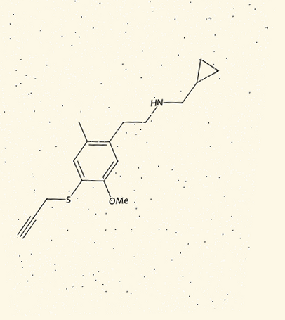 C#CCSc1cc(C)c(CCNCC2CC2)cc1OC